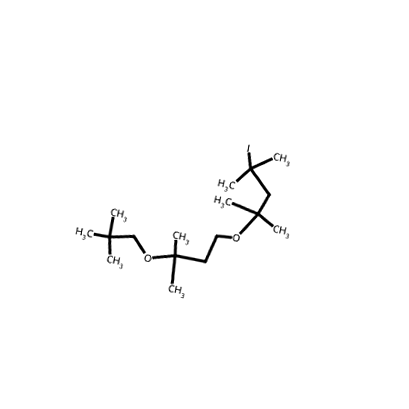 CC(C)(C)COC(C)(C)CCOC(C)(C)CC(C)(C)I